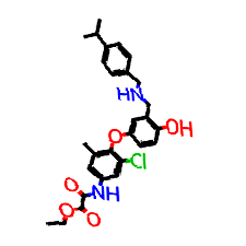 CCOC(=O)C(=O)Nc1cc(C)c(Oc2ccc(O)c(CNCc3ccc(C(C)C)cc3)c2)c(Cl)c1